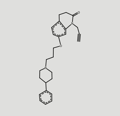 C#CCN1C(=O)CCc2ccc(OCCCN3CCC(c4ccccc4)CC3)cc21